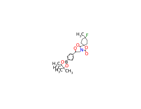 CC1(F)CCC2(CC1)OC(=O)N(CC(=O)c1ccc(B3OC(C)(C)C(C)(C)O3)cc1)C2=O